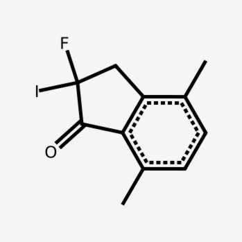 Cc1ccc(C)c2c1CC(F)(I)C2=O